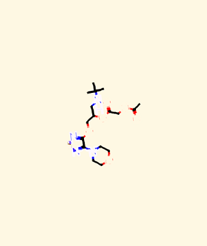 CC(=O)OCC(=O)OC(CNC(C)(C)C)COc1nsnc1N1CCOCC1